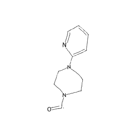 O=[C]N1CCN(c2ccccn2)CC1